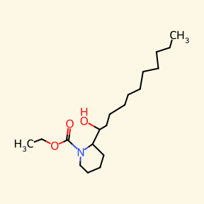 CCCCCCCCCCC(O)C1CCCCN1C(=O)OCC